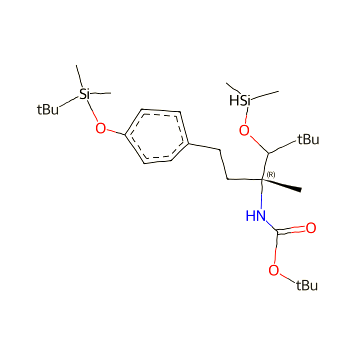 C[SiH](C)OC(C(C)(C)C)[C@@](C)(CCc1ccc(O[Si](C)(C)C(C)(C)C)cc1)NC(=O)OC(C)(C)C